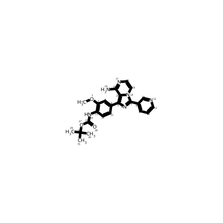 COc1cc(-c2nc(-c3cccnc3)n3ccnc(N)c23)ccc1NC(=O)OC(C)(C)C